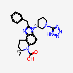 C[C@H]1CCc2c(ccc3c2nc(Cc2ccccc2)n3[C@H]2CCCN(c3nnn[nH]3)C2)N1C(=O)O